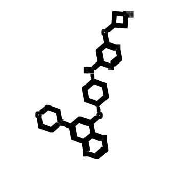 c1nc(N[C@H]2CC[C@@H](Oc3cc(N4CCOCC4)cc4nccnc34)CC2)cc(OC2CNC2)n1